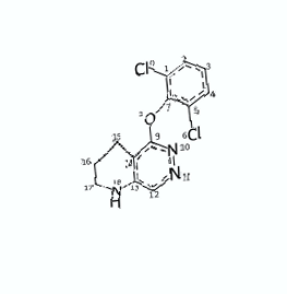 Clc1cccc(Cl)c1Oc1nncc2c1CCCN2